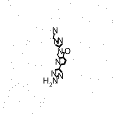 N#CCn1cc(N2Cc3nc(-c4cnc(N)nc4)ccc3C2=O)cn1